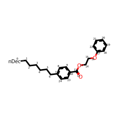 CCCCCCCCCCCCCCCCc1ccc(C(=O)OCCOc2ccccc2)cc1